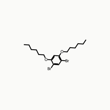 CCCCCCOc1cc(OCCCCCC)c(Br)cc1Br